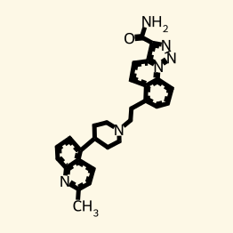 Cc1ccc2c(C3CCN(CCc4cccc5c4ccc4c(C(N)=O)nnn45)CC3)cccc2n1